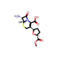 COC(=O)[C@@H]1CC[C@H](C2=C(C(=O)O)N3C(=O)[C@@H](N)[C@H]3SC2)O1